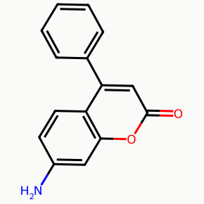 Nc1ccc2c(-c3ccccc3)cc(=O)oc2c1